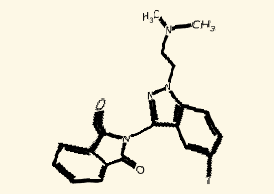 CN(C)CCn1nc(N2C(=O)c3ccccc3C2=O)c2cc(I)ccc21